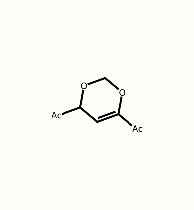 CC(=O)C1=CC(C(C)=O)OCO1